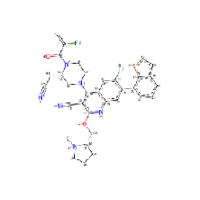 C=C(F)C(=O)N1CCN(c2c(C#N)c(OC[C@@H]3CCCN3C)nc3cc(-c4cccc5ccsc45)c(Cl)cc23)C[C@@H]1CC#N